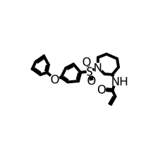 C=CC(=O)NC1CCCCN(S(=O)(=O)c2ccc(Oc3ccccc3)cc2)C1